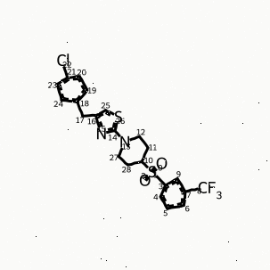 O=S(=O)(c1cccc(C(F)(F)F)c1)C1CCN(c2nc(Cc3ccc(Cl)cc3)cs2)CC1